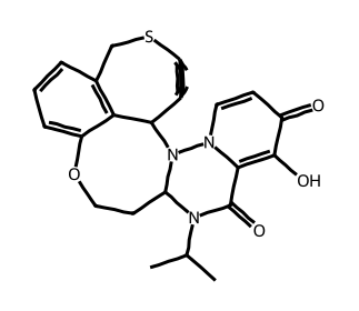 CC(C)N1C(=O)c2c(O)c(=O)ccn2N2C3c4ccccc4SCc4cccc(c43)OCCC12